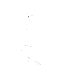 C#CC1(O)CCC(CCCCC(F)(F)F)CC1